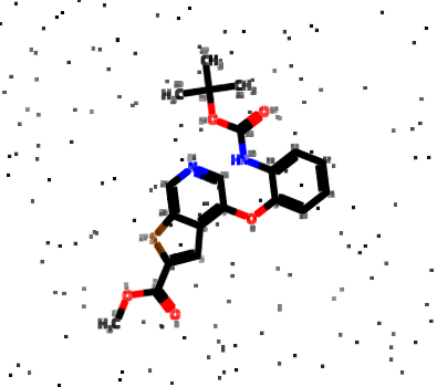 COC(=O)c1cc2c(Oc3ccccc3NC(=O)OC(C)(C)C)cncc2s1